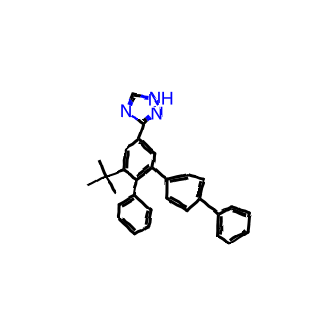 CC(C)(C)c1cc(-c2nc[nH]n2)cc(-c2ccc(-c3ccccc3)cc2)c1-c1ccccc1